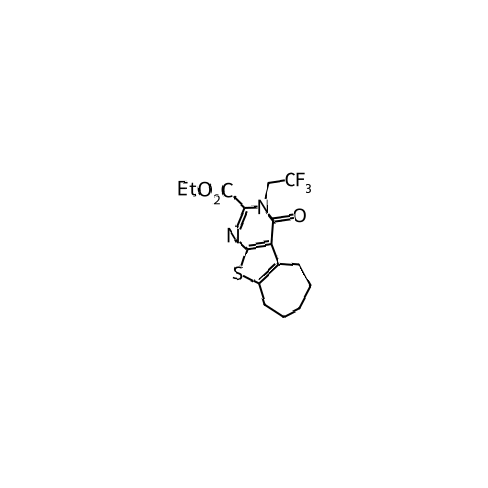 CCOC(=O)c1nc2sc3c(c2c(=O)n1CC(F)(F)F)CCCCC3